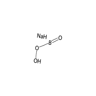 O=BOO.[NaH]